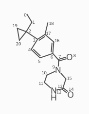 CCC1(c2ccc(C(=O)N3CCNC(=O)C3)cc2C)CC1